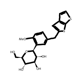 COc1ccc(Cc2cc3ccsc3s2)cc1[C@@H]1O[C@H](CO)[C@@H](O)[C@H](O)[C@H]1O